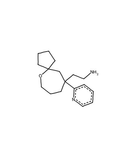 NCCC1(c2ccccn2)CCCOC2(CCCC2)C1